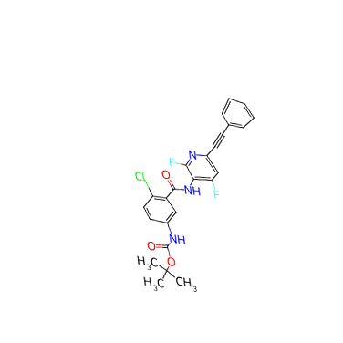 CC(C)(C)OC(=O)Nc1ccc(Cl)c(C(=O)Nc2c(F)cc(C#Cc3ccccc3)nc2F)c1